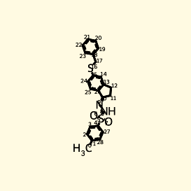 Cc1ccc(S(=O)(=O)NN=C2CCc3cc(SCc4ccccc4)ccc32)cc1